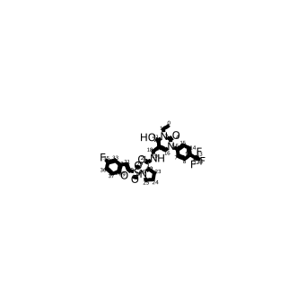 CCN1C(=O)N(c2ccc(C(F)(F)F)cc2)C=C(CNC(=O)[C@@H]2CCCN2S(=O)(=O)c2cc3cc(F)ccc3o2)C1O